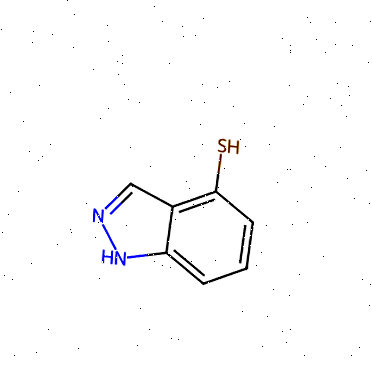 Sc1cccc2[nH]ncc12